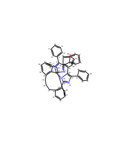 c1ccc(C2=NC3(N=C2c2ccccc2)c2cc4ccc2CCCc2ccc(cc2-c2nc(-c5ccccc5)c(-c5ccccc5)n23)CCC4)cc1